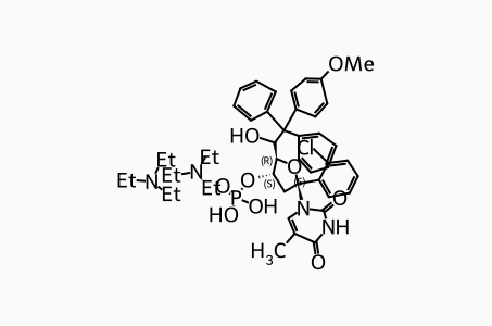 CCN(CC)CC.CCN(CC)CC.COc1ccc(C(c2ccccc2)(c2ccccc2)C(O)[C@H]2O[C@@](c3ccccc3Cl)(n3cc(C)c(=O)[nH]c3=O)C[C@@H]2OP(=O)(O)O)cc1